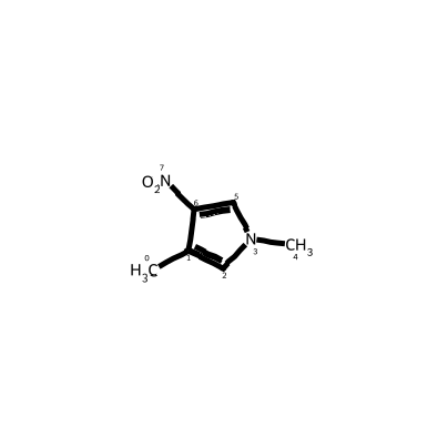 Cc1cn(C)cc1[N+](=O)[O-]